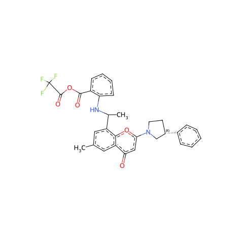 Cc1cc(C(C)Nc2ccccc2C(=O)OC(=O)C(F)(F)F)c2oc(N3CC[C@H](c4ccccc4)C3)cc(=O)c2c1